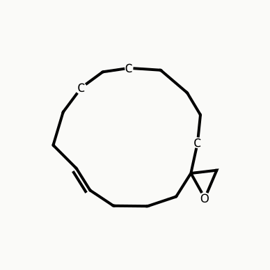 C1=C/CCCC2(CCCCCCCCC/1)CO2